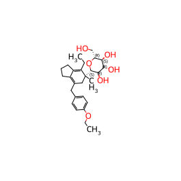 CCOc1ccc(CC2=C3CCCC3=C(CC)C(C)([C@@H]3O[C@H](CO)[C@@H](O)[C@H](O)[C@H]3O)C2)cc1